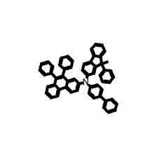 CC1(c2ccccc2)c2ccccc2-c2ccc(N(c3ccc(-c4ccccc4)cc3)c3ccc4c(c3)c(-c3ccccc3)c(-c3ccccc3)c3ccccc34)cc21